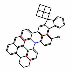 CC(C)(C)c1ccc(N(c2ccccc2-c2ccc3c(c2)C2(c4ccccc4-3)C3CC4CC5CC2C453)c2ccccc2-c2cccc3cccc(C4CCCCC4)c23)cc1